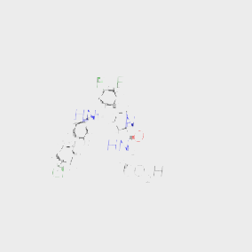 O=C(O)CCNC(=O)c1ccc(-c2cc(F)c(F)cc2CNc2ccc(-c3ccc(Cl)cc3)cc2)cn1